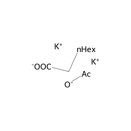 CC(=O)[O-].CCCCCCCC(=O)[O-].[K+].[K+]